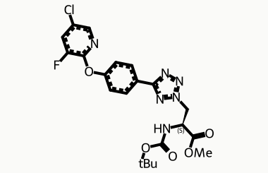 COC(=O)[C@H](Cn1nnc(-c2ccc(Oc3ncc(Cl)cc3F)cc2)n1)NC(=O)OC(C)(C)C